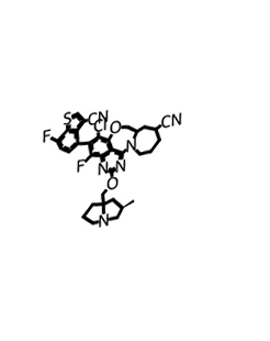 C[C@H]1CN2CCCC2(COc2nc3c4c(c(Cl)c(-c5ccc(F)c6scc(C#N)c56)c(F)c4n2)OCC2CC(C#N)CCCN32)C1